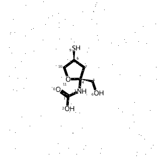 O=C(O)N[C@@]1(CO)C[C@H](S)CO1